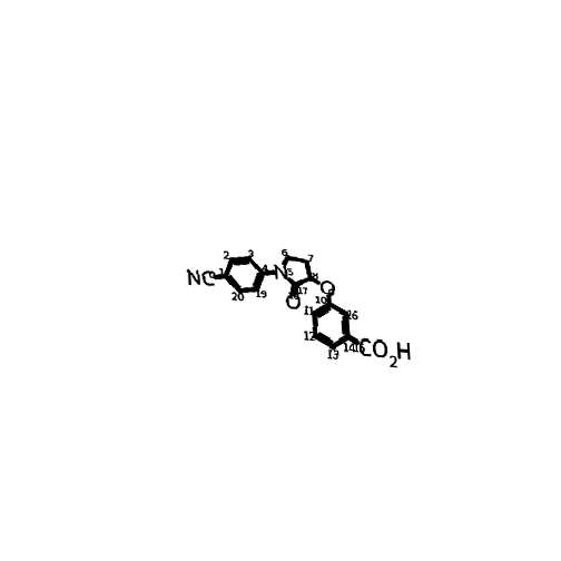 N#Cc1ccc(N2CCC(Oc3cccc(C(=O)O)c3)C2=O)cc1